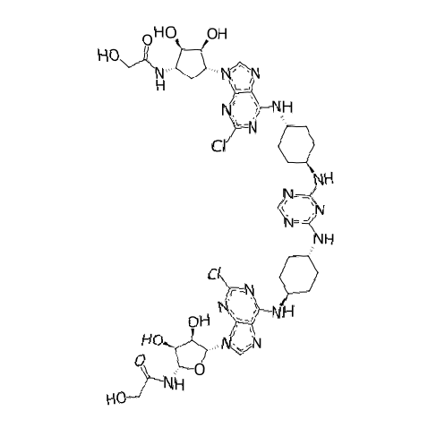 O=C(CO)N[C@H]1C[C@@H](n2cnc3c(N[C@H]4CC[C@H](Nc5ncnc(N[C@H]6CC[C@H](Nc7nc(Cl)nc8c7ncn8[C@@H]7O[C@H](NC(=O)CO)[C@@H](O)[C@H]7O)CC6)n5)CC4)nc(Cl)nc32)[C@H](O)[C@@H]1O